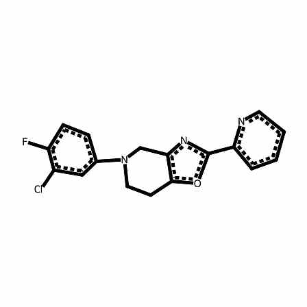 Fc1ccc(N2CCc3oc(-c4ccccn4)nc3C2)cc1Cl